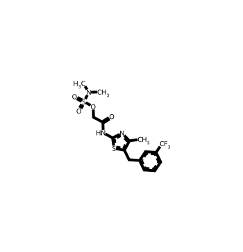 Cc1nc(NC(=O)COS(=O)(=O)N(C)C)sc1Cc1cccc(C(F)(F)F)c1